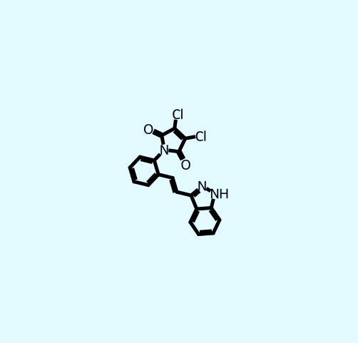 O=C1C(Cl)=C(Cl)C(=O)N1c1ccccc1C=Cc1n[nH]c2ccccc12